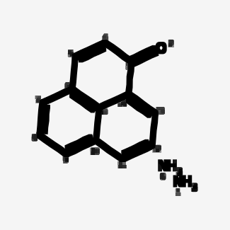 N.N.O=C1C=Cc2cccc3cccc1c23